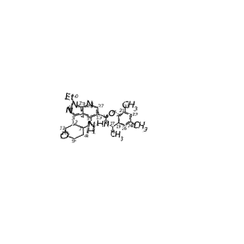 CCn1ncc2c(NC3CCOCC3)c(C(=O)NC(C)c3cc(C)cc(C)c3)cnc21